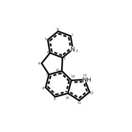 c1cnc2c(c1)Cc1ccc3cc[nH]c3c1-2